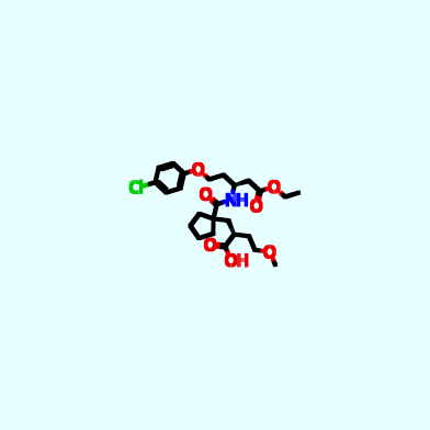 CCOC(=O)C[C@H](CCOc1ccc(Cl)cc1)NC(=O)C1(C[C@@H](CCOC)C(=O)O)CCCC1